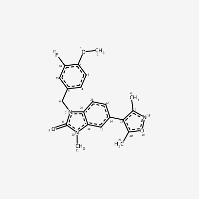 COc1ccc(Cn2c(=O)n(C)c3cc(-c4c(C)noc4C)ccc32)cc1F